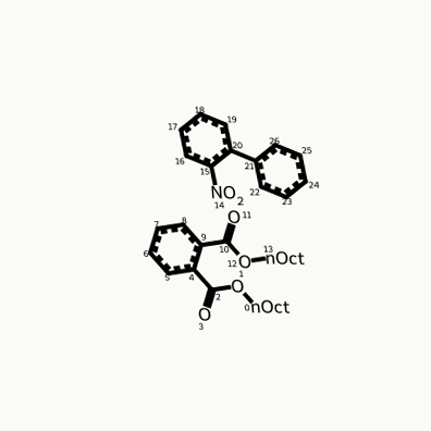 CCCCCCCCOC(=O)c1ccccc1C(=O)OCCCCCCCC.O=[N+]([O-])c1ccccc1-c1ccccc1